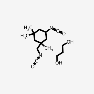 CC1(C)CC(N=C=O)CC(C)(CN=C=O)C1.OCCCO